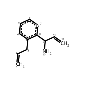 C=CCc1cccnc1C(N)C=C